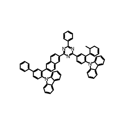 CC1CC=CC=C1c1cc(-c2nc(-c3ccccc3)nc(-c3ccc4cc(-c5cc(-c6ccccc6)ccc5-n5c6ccccc6c6ccccc65)ccc4c3)n2)ccc1-n1c2ccccc2c2ccccc21